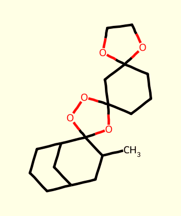 CC1CC2CCCC(C2)C12OOC1(CCCC3(C1)OCCO3)O2